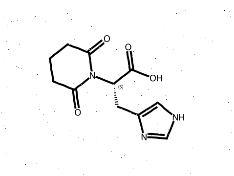 O=C(O)[C@H](Cc1c[nH]cn1)N1C(=O)CCCC1=O